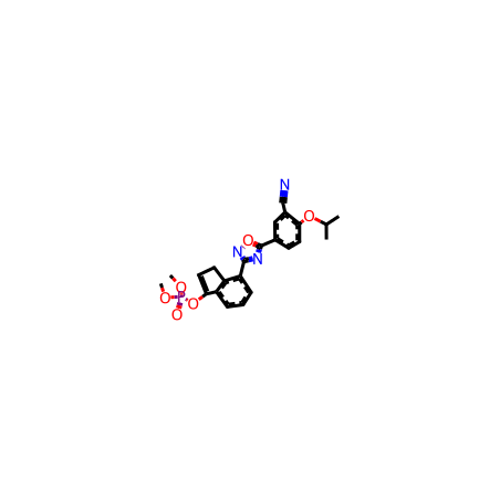 COP(=O)(OC)OC1=CCc2c1cccc2-c1noc(-c2ccc(OC(C)C)c(C#N)c2)n1